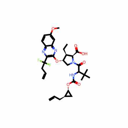 C=CC[C@@H]1C[C@H]1OC(=O)NC(C(=O)N1C[C@H](Oc2nc3cc(OC)ccc3nc2C(F)(F)CC=C)[C@@H](CC)[C@H]1C(=O)O)C(C)(C)C